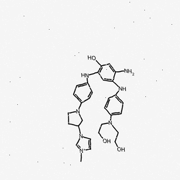 C[n+]1ccn(C2CCN(c3ccc(Nc4cc(Nc5ccc(N(CCO)CCO)cc5)c(N)cc4O)cc3)C2)c1